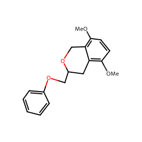 COc1ccc(OC)c2c1COC(COc1ccccc1)C2